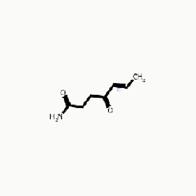 C/C=C/C(=O)CCC(N)=O